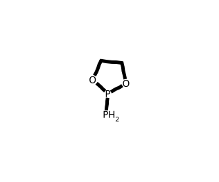 PP1OCCO1